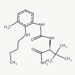 CSCCNc1c(C)cccc1NC(=O)N[C@H](C(N)=O)C(C)(C)C